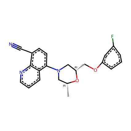 C[C@@H]1CN(c2ccc(C#N)c3ncccc23)C[C@H](COc2cccc(F)c2)O1